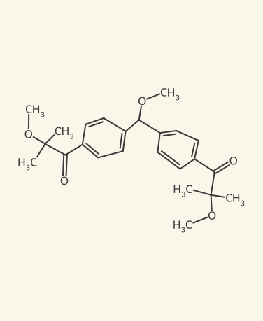 COC(c1ccc(C(=O)C(C)(C)OC)cc1)c1ccc(C(=O)C(C)(C)OC)cc1